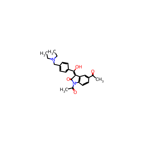 CCN(CC)Cc1ccc(C(O)=C2C(=O)N(C(C)=O)c3ccc(C(C)=O)cc32)cc1